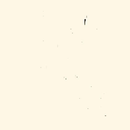 COC(=O)c1ccccc1C#C[C@]1(O)CCC2=Cc3c(cnn3-c3ccc(F)cc3)CC21C